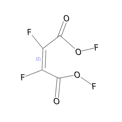 O=C(OF)/C(F)=C(/F)C(=O)OF